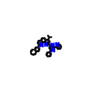 CC(C)c1cc(-c2cc(-c3ccccc3)nc(-c3ccccn3)n2)nc2c1ccc1ccc(-c3ccc4c(c3)C=CCC=C4)nc12